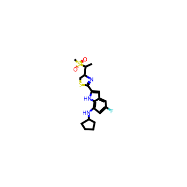 CC(C1CSC(c2cc3cc(F)cc(NC4CCCC4)c3[nH]2)=N1)S(C)(=O)=O